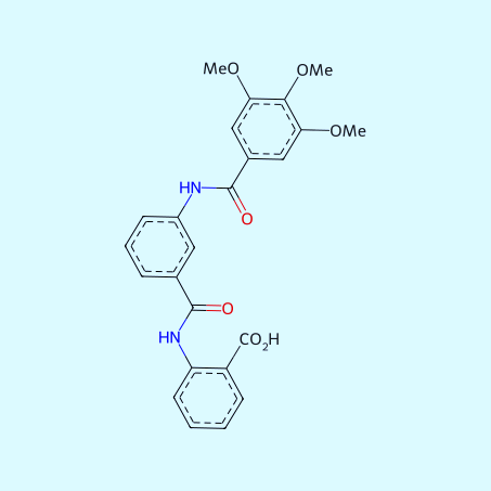 COc1cc(C(=O)Nc2cccc(C(=O)Nc3ccccc3C(=O)O)c2)cc(OC)c1OC